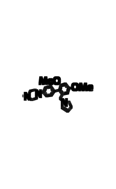 COc1cc(CN2C=CCC2)c(-c2ccc(N3CCN(C)CC3)cc2)c(OC)c1